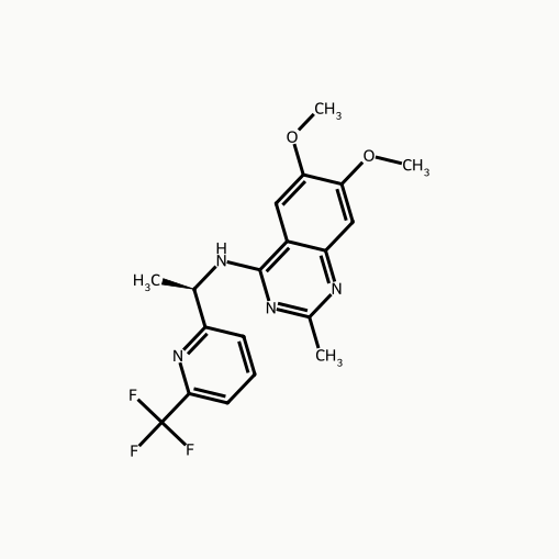 COc1cc2nc(C)nc(N[C@H](C)c3cccc(C(F)(F)F)n3)c2cc1OC